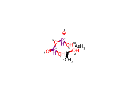 C=CO.O=[PH](O)O[PH](=O)O.[AsH3]